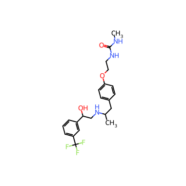 CNC(=O)NCCOc1ccc(CC(C)NCC(O)c2cccc(C(F)(F)F)c2)cc1